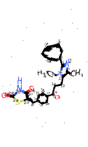 Cc1nc(-c2ccccc2)n(C)c1CCC(=O)c1ccc(C=C2SC(=O)NC2=O)cc1